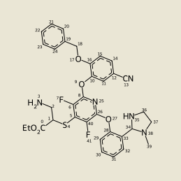 CCOC(=O)C(CN)Sc1c(F)c(Oc2cc(C#N)ccc2OCc2ccccc2)nc(Oc2ccccc2C2NCCN2C)c1F